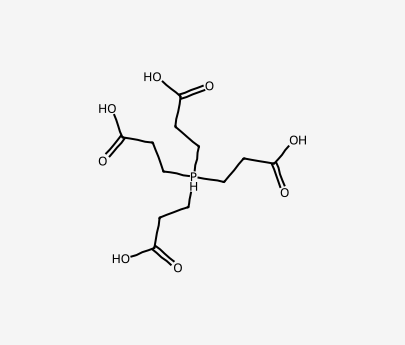 O=C(O)CC[PH](CCC(=O)O)(CCC(=O)O)CCC(=O)O